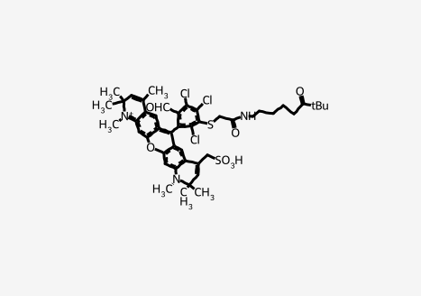 CC1=CC(C)(C)[N+](C)=c2cc3c(cc21)=C(c1c(Cl)c(SCC(=O)NCCCCCC(=O)C(C)(C)C)c(Cl)c(Cl)c1C=O)c1cc2c(cc1O3)N(C)C(C)(C)C=C2CS(=O)(=O)O